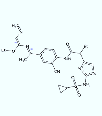 C=N/C=C(\N=C(/C)c1ccc(NC(=O)C(CC)c2csc(NS(=O)(=O)C3CC3)n2)c(C#N)c1)OCC